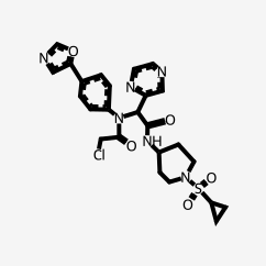 O=C(NC1CCN(S(=O)(=O)C2CC2)CC1)C(c1cnccn1)N(C(=O)CCl)c1ccc(-c2cnco2)cc1